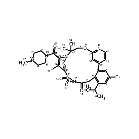 CC(C)c1cc(F)cc2c1CC(=O)NS(=O)(=O)c1nn(c(C(=O)N3CCN(C)CC3)c1F)C(C)(C)COc1cc-2ccn1